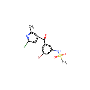 Cc1cc(C(=O)c2cc(Br)cc(NS(C)(=O)=O)c2)cc(Cl)n1